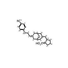 N#Cc1ccc(OCCN2CC3CN(CC4CCCN4C(=O)O)CC(C2)O3)cc1